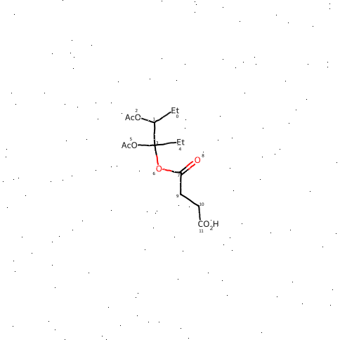 CCC(OC(C)=O)C(CC)(OC(C)=O)OC(=O)CCC(=O)O